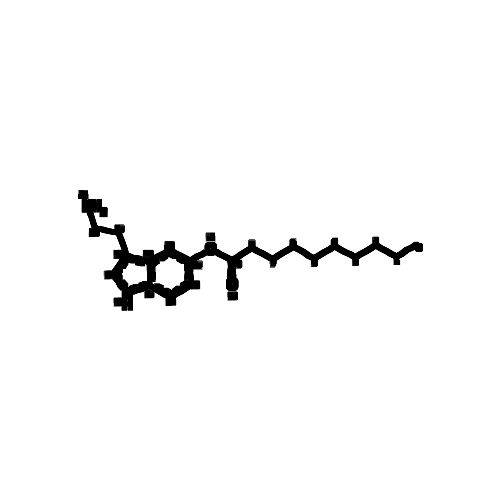 CCCCCCCCCC(=O)Oc1ccc2[nH]cc(CCN)c2c1